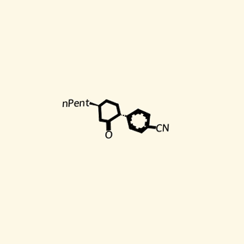 CCCCC[C@H]1CC[C@H](c2ccc(C#N)cc2)C(=O)C1